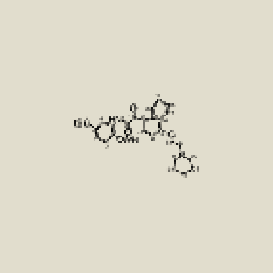 COc1ccc(C(C)(C)C)cc1NC(=O)C(=O)c1ccc(OCCN2CCCCC2)c2ccccc12